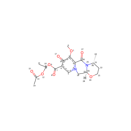 COc1c2n(cc(C(=O)OB(C)OC(C)=O)c1=O)C[C@@H]1OCC[C@@H](C)N1C2=O